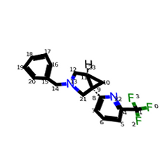 FC(F)(F)c1cccc([C@@]23C[C@@H]2CN(Cc2ccccc2)C3)n1